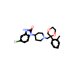 Cc1ccccc1C1(CN2CCC(n3c(=O)[nH]c4cc(Cl)ccc43)CC2)COCCO1